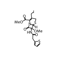 COC(=O)C1=C(CI)CS[C@H]2N1C(=O)[C@]2(NC(=O)Cc1cccs1)OC